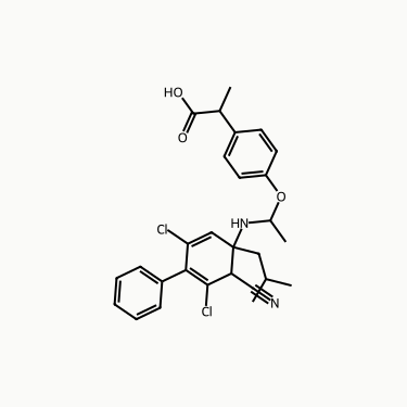 CC(C)CC1(NC(C)Oc2ccc(C(C)C(=O)O)cc2)C=C(Cl)C(c2ccccc2)=C(Cl)C1C#N